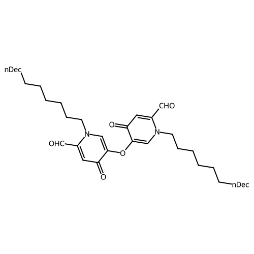 CCCCCCCCCCCCCCCCn1cc(Oc2cn(CCCCCCCCCCCCCCCC)c(C=O)cc2=O)c(=O)cc1C=O